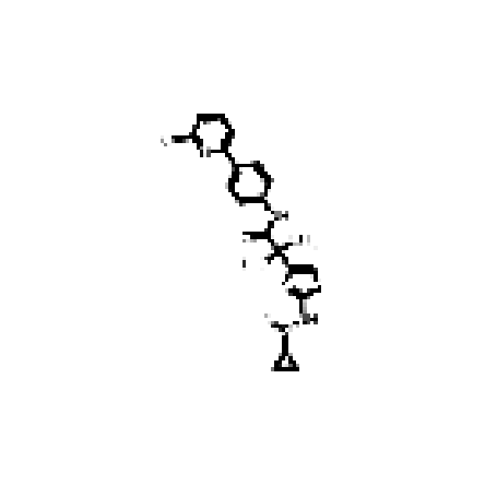 CC(C)(C(=O)Nc1ccc(-c2cccc(Cl)n2)cc1)c1csc(N[S+]([O-])C2CC2)n1